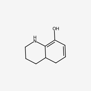 OC1=C2NCCCC2CC=C1